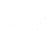 [2H]c1cnn(-c2ccc(Cl)cc2C(=O)N2CCCN2Cc2ccc3nc(C)sc3c2)n1